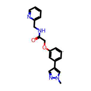 Cn1cc(-c2c[c]cc(OCC(=O)NCc3ccccn3)c2)cn1